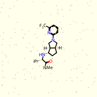 CNC(=O)[C@@H](N[C@H]1CC[C@@H]2CN(c3cccc(C(F)(F)F)n3)C[C@@H]21)C(C)C